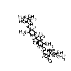 CCC(CC)(c1ccc(CCC(O)C(C)(C)C)c(C)c1)c1ccc(OC[C@@H]2CC(=O)N2C(=O)OC(C)(C)C)c(C)c1